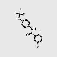 O=C(Nc1ccc(OC(F)(F)F)cc1)c1cc(Br)ccc1F